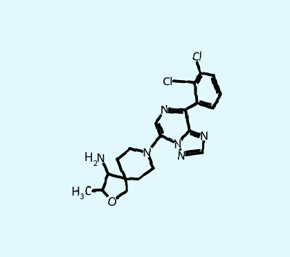 CC1OCC2(CCN(c3cnc(-c4cccc(Cl)c4Cl)c4ncnn34)CC2)C1N